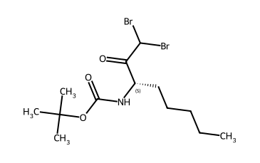 CCCCC[C@H](NC(=O)OC(C)(C)C)C(=O)C(Br)Br